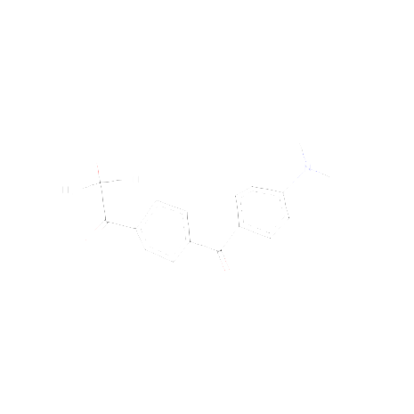 CN(C)c1ccc(C(=O)c2ccc(C(=O)C(C)(C)O)cc2)cc1